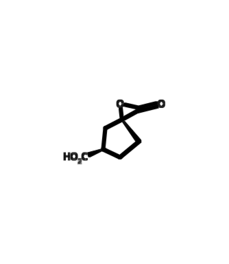 O=C(O)[C@@H]1CC[C@@]2(C1)OC2=O